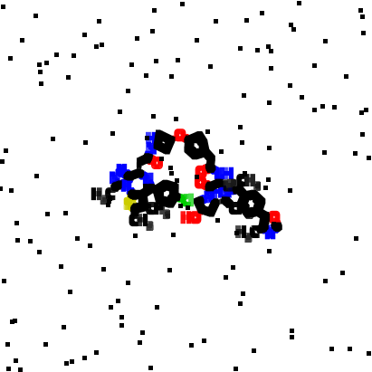 Cc1ncoc1-c1ccc([C@H](C)NC(C)[C@@H]2C[C@@H](O)CN2C(=O)[C@@H](NC(=O)Cc2ccc(O[C@H]3C[C@H](NC(=O)C[C@@H]4N=C(c5ccc(Cl)cc5)c5c(sc(C)c5C)-n5c(C)nnc54)C3)cc2)C(C)(C)C)cc1